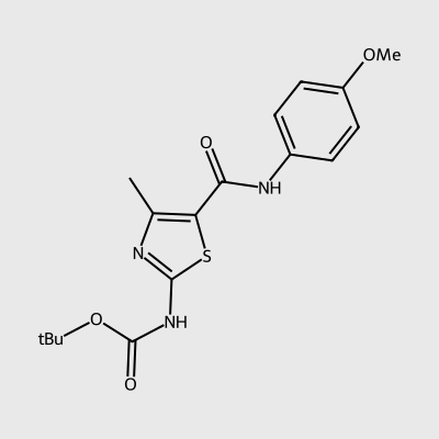 COc1ccc(NC(=O)c2sc(NC(=O)OC(C)(C)C)nc2C)cc1